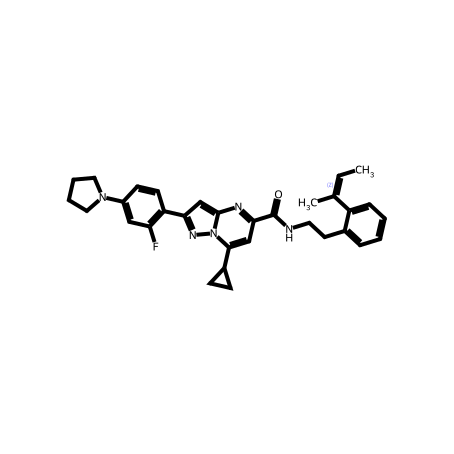 C/C=C(/C)c1ccccc1CCNC(=O)c1cc(C2CC2)n2nc(-c3ccc(N4CCCC4)cc3F)cc2n1